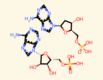 Nc1ncnc2c1ncn2[C@@H]1O[C@H](COP(=O)(O)O)[C@@H](O)[C@H]1O.Nc1ncnc2c1ncn2[C@H]1C[C@H](O)[C@@H](COP(=O)(O)O)O1